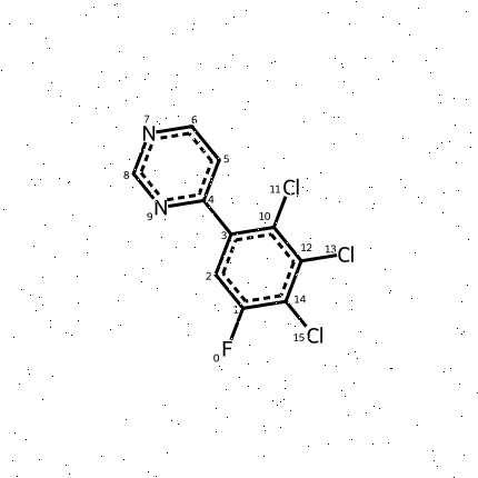 Fc1cc(-c2ccncn2)c(Cl)c(Cl)c1Cl